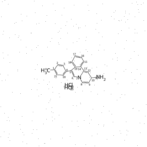 Cc1ccc(C2=CN3C=CC(N)C=C3c3ccccc32)cc1.Cl.Cl